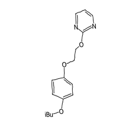 CCC(C)Oc1ccc(OCCOc2ncccn2)cc1